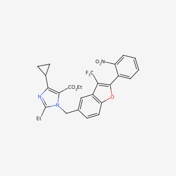 CCOC(=O)c1c(C2CC2)nc(CC)n1Cc1ccc2oc(-c3ccccc3[N+](=O)[O-])c(C(F)(F)F)c2c1